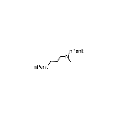 CCCCCCCCN(C)CCCCC